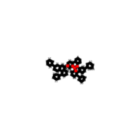 Oc1cc2ccccc2c2ccc[c]([Ru]([c]3ccc(-c4ccccc4)c4c3c(O)cc3cc(-c5ccccc5)ccc34)[c]3ccc(-c4ccccc4)c4c3c(O)cc3cc(-c5ccccc5)ccc34)c12